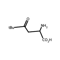 CC(C)(C)C(=O)CC(N)C(=O)O